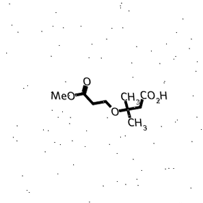 COC(=O)CCOC(C)(C)CC(=O)O